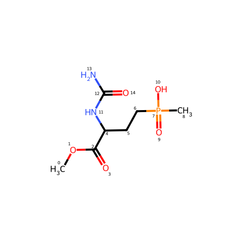 COC(=O)C(CCP(C)(=O)O)NC(N)=O